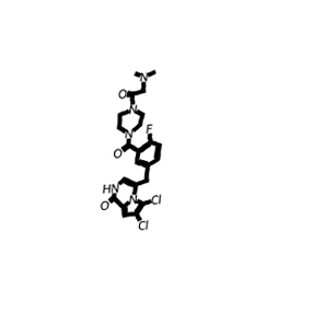 CN(C)CC(=O)N1CCN(C(=O)c2cc(Cc3c[nH]c(=O)c4cc(Cl)c(Cl)n34)ccc2F)CC1